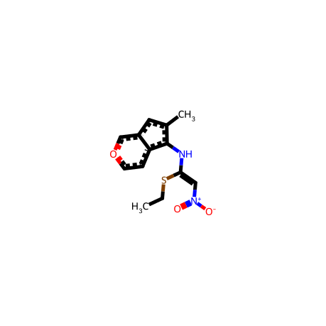 CCSC(=C[N+](=O)[O-])Nc1c(C)cc2coccc1-2